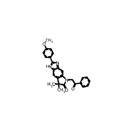 COc1ccc(-c2nc3cc4c(cc3[nH]2)C(C)(C)C(=O)N4CC(=O)c2ccccc2)cc1